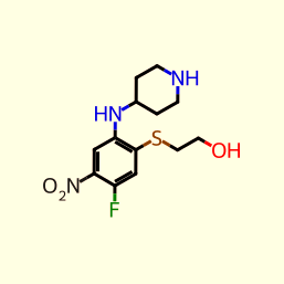 O=[N+]([O-])c1cc(NC2CCNCC2)c(SCCO)cc1F